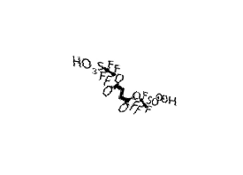 O=C(CCC(=O)OC(F)(F)C(F)(F)S(=O)(=O)O)OC(F)(F)C(F)(F)SOOO